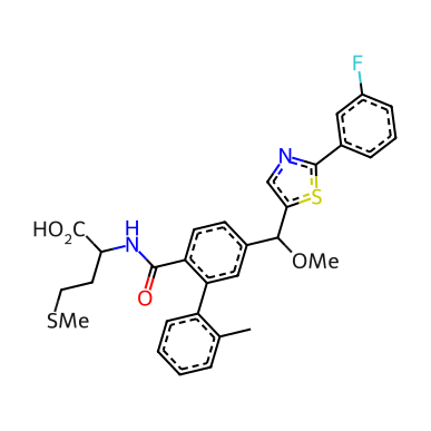 COC(c1ccc(C(=O)NC(CCSC)C(=O)O)c(-c2ccccc2C)c1)c1cnc(-c2cccc(F)c2)s1